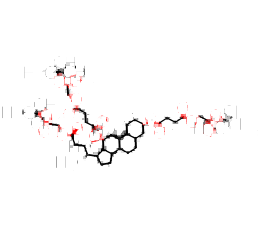 CC(CCC(=O)OCC(=O)OC(C)(C)C)C1CCC2C3CCC4CC(OC(=O)CCC(=O)OCC(=O)OC(C)(C)C)CCC4(C)C3CC(OC(=O)CCC(=O)OCC(=O)OC(C)(C)C)C12C